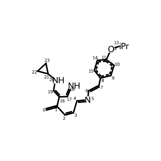 C=C(\C=C/C=N/C=C/c1ccc(OC(C)C)cc1)/C(C=N)=C/NC1CC1